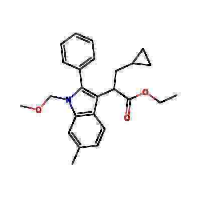 CCOC(=O)C(CC1CC1)c1c(-c2ccccc2)n(COC)c2cc(C)ccc12